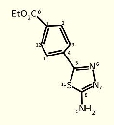 CCOC(=O)c1ccc(-c2nnc(N)s2)cc1